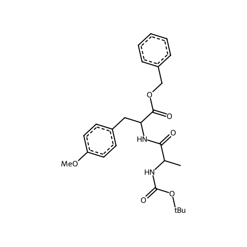 COc1ccc(CC(NC(=O)C(C)NC(=O)OC(C)(C)C)C(=O)OCc2ccccc2)cc1